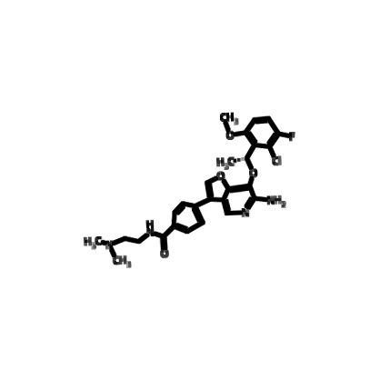 COc1ccc(F)c(Cl)c1[C@@H](C)Oc1c(N)ncc2c(-c3ccc(C(=O)NCCN(C)C)cc3)coc12